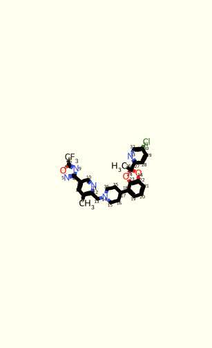 Cc1cc(-c2noc(C(F)(F)F)n2)cnc1CN1CCC(c2cccc3c2OC(C)(c2ccc(Cl)cn2)O3)CC1